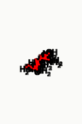 C[C@H](NCC(=O)[C@H](CC(N)=O)NC(=O)[C@H](CCC(N)=O)NC(=O)[C@@H](N)Cc1ccccc1)C(=O)CC(=O)[C@@H]1CCCN1N[C@@H](CCCNC(N)N)C(=O)N[C@@H](CCC(=O)O)C(N)=O